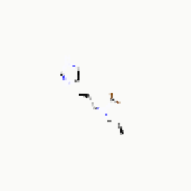 C=CCN(CC=C)C(=S)S.c1c[nH]cn1